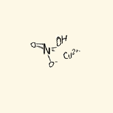 O=[N+]([O-])O.[Cu+2]